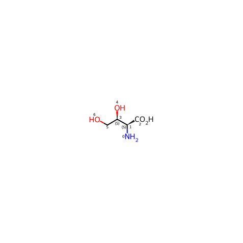 N[C@H](C(=O)O)[C@H](O)CO